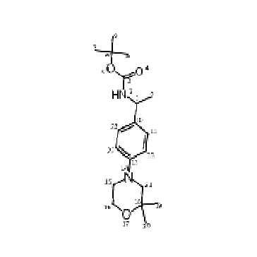 CC(NC(=O)OC(C)(C)C)c1ccc(N2CCOC(C)(C)C2)cc1